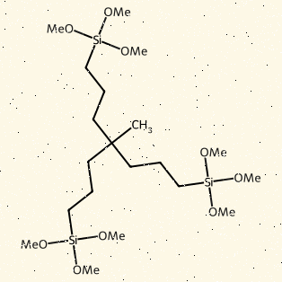 CO[Si](CCCC(C)(CCC[Si](OC)(OC)OC)CCC[Si](OC)(OC)OC)(OC)OC